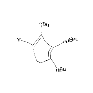 CCCCC1=C(CCCC)C(CCCC)=[C]([Y])C1